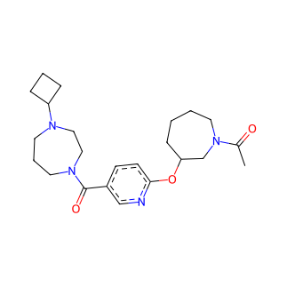 CC(=O)N1CCCCC(Oc2ccc(C(=O)N3CCCN(C4CCC4)CC3)cn2)C1